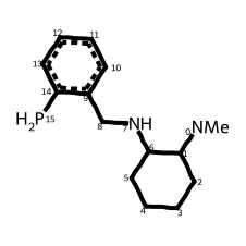 CNC1CCCCC1NCc1ccccc1P